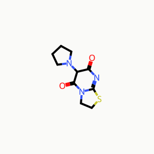 O=C1N=C2SCCN2C(=O)C1N1CCCC1